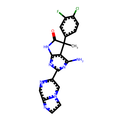 CC1(c2ccc(Cl)c(F)c2)C(=O)Nc2nc(-c3cn4ccnc4cn3)nc(N)c21